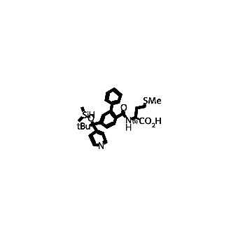 CSCC[C@H](NC(=O)c1ccc(C(O[SiH](C)C)(c2ccncc2)C(C)(C)C)cc1-c1ccccc1)C(=O)O